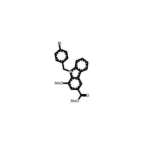 COC(=O)c1cc(OC)c2c(c1)c1ccccc1n2Cc1ccc(Br)cc1